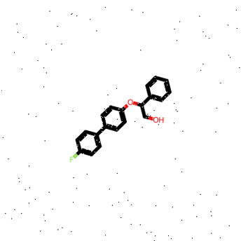 OCC(Oc1ccc(-c2ccc(F)cc2)cc1)c1ccccc1